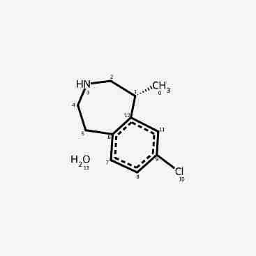 C[C@H]1CNCCc2ccc(Cl)cc21.O